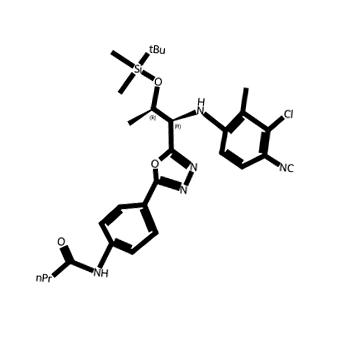 [C-]#[N+]c1ccc(N[C@@H](c2nnc(-c3ccc(NC(=O)CCC)cc3)o2)[C@@H](C)O[Si](C)(C)C(C)(C)C)c(C)c1Cl